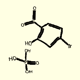 O=I(=O)c1ccc(Br)cc1O.O=P(O)(O)O